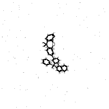 CC1(C)c2ccccc2Oc2cc(-c3ccc4c(c3)C(C)(c3ccccc3)c3ccc5ccccc5c3-4)ccc21